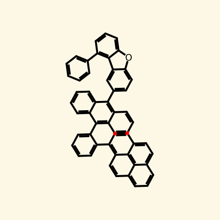 c1ccc(-c2cccc3oc4ccc(-c5c6ccccc6c(-c6ccccc6-c6ccc7ccc8cccc9ccc6c7c89)c6ccccc56)cc4c23)cc1